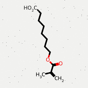 C=C(C)C(=O)OCCCCCCCC(=O)O